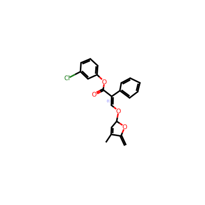 C=C1OC(O/C=C(/C(=O)Oc2cccc(Cl)c2)c2ccccc2)C=C1C